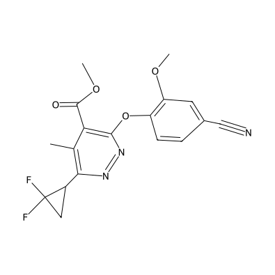 COC(=O)c1c(Oc2ccc(C#N)cc2OC)nnc(C2CC2(F)F)c1C